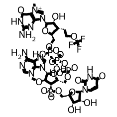 CO[C@@H]1[C@H](P(=O)([O-])OC[C@H]2O[C@@H](n3ccc(=O)[nH]c3=O)[C@H](O)[C@@H]2O)[C@@H](COP(=O)(O)OP(=O)(O)OP(=O)(O)OC[C@H]2O[C@@H](n3c[n+](C)c4c(=O)[nH]c(N)nc43)[C@H](O)[C@@H]2CCOC(F)(F)F)O[C@H]1n1cnc2c(N)ncnc21